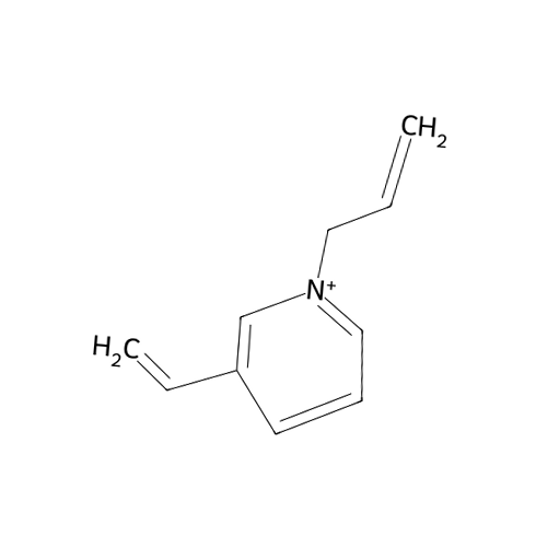 C=CC[n+]1cccc(C=C)c1